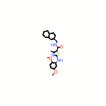 COc1ccc(OC)c(Nc2nc(C)c(C(=O)NCc3ccc4ccccc4c3)s2)c1